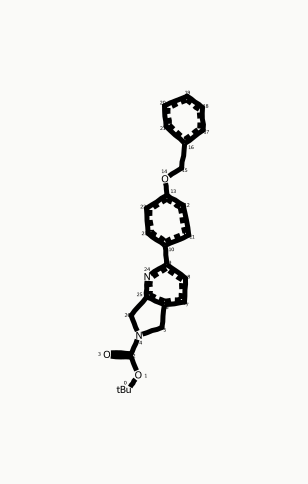 CC(C)(C)OC(=O)N1Cc2ccc(-c3ccc(OCc4ccccc4)cc3)nc2C1